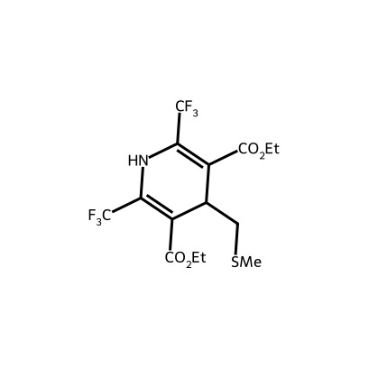 CCOC(=O)C1=C(C(F)(F)F)NC(C(F)(F)F)=C(C(=O)OCC)C1CSC